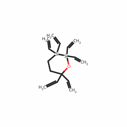 C=CC1(C=C)CC[Si](C=C)(C=C)[Si](C=C)(C=C)O1